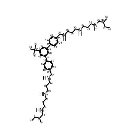 CCC(C)CNCCCNCCCNCc1ccc(-c2cc(-c3ccc(CNCCCNCCCNCC(C)CC)cc3)cc(C(C)(C)C)c2)cc1